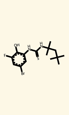 CC(C)(C)CC(C)(C)NC(=S)Nc1cc(Br)cc(F)c1O